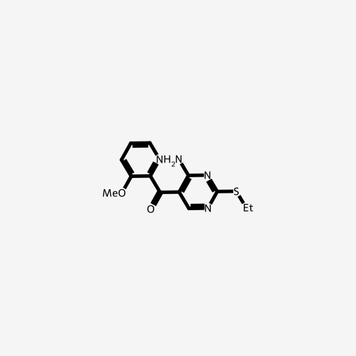 CCSc1ncc(C(=O)c2ncccc2OC)c(N)n1